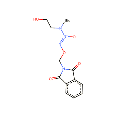 CC(C)(C)N(CCO)[N+]([O-])=NOCN1C(=O)c2ccccc2C1=O